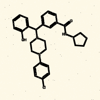 O=C(NC1CCCC1)c1cccc(C(c2ccccc2O)N2CCN(c3ccc(Cl)cc3)CC2)c1